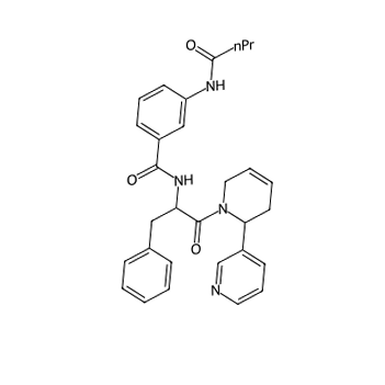 CCCC(=O)Nc1cccc(C(=O)NC(Cc2ccccc2)C(=O)N2CC=CCC2c2cccnc2)c1